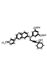 COc1cc(OC)cc(N(CC#CC2(O)CCCCC2)c2ccc3ncc(-c4cnn(C)c4)nc3c2)c1